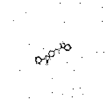 O=C1O[C@]2(CC[C@H](CNc3nsc4ccccc34)CC2)CN1c1cccnn1